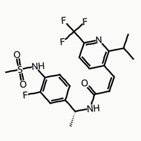 CC(C)c1nc(C(F)(F)F)ccc1/C=C\C(=O)N[C@H](C)c1ccc(NS(C)(=O)=O)c(F)c1